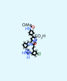 COC(=O)Nc1ccc(-c2cc([C@H](Cc3ccccc3)NC(=O)/C=C/c3cc(Cl)ccc3N3C=NNN3)nnc2C(=O)O)cc1